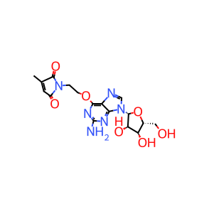 CC1=CC(=O)N(CCOc2nc(N)nc3c2ncn3[C@@H]2O[C@H](CO)[C@@H](O)[C@H]2O)C1=O